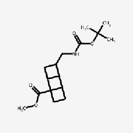 COC(=O)C12C3C4C1C1C2C3C41CNC(=O)OC(C)(C)C